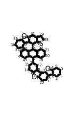 c1ccc2c(c1)oc1c2ccc2oc3ccc(-c4c5ccccc5c(-c5c6sccc6cc6oc7ccccc7c56)c5ccccc45)cc3c21